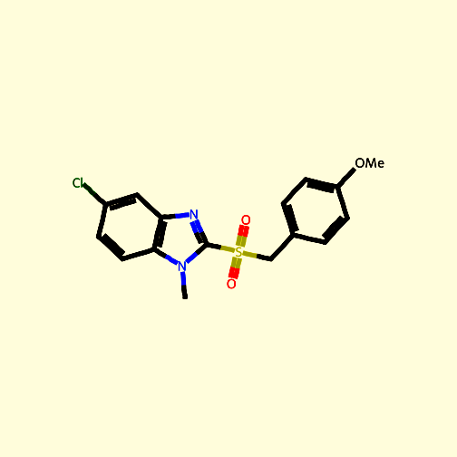 COc1ccc(CS(=O)(=O)c2nc3cc(Cl)ccc3n2C)cc1